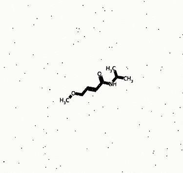 COC/C=C/C(=O)NC(C)C